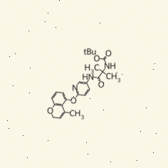 CC1=CCOc2cccc(Oc3ccc(NC(=O)C(C)(C)NC(=O)OC(C)(C)C)cn3)c21